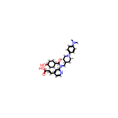 CN(C)c1ccc(N2CCC(CN(C(=O)C3CCC(O)CC3)c3cc(C=CC(=O)O)ccn3)CC2)cc1